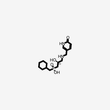 O=c1ccc(CNC[C@H](O)CP(=O)(O)CC2CCCCC2)c[nH]1